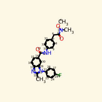 CON(C)C(=O)Cc1ccc(NC(=O)c2ccc3nc(C)n(-c4ccc(F)cc4)c3c2)cc1